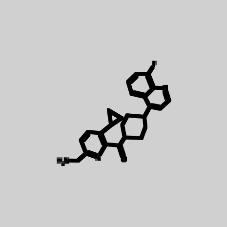 NCc1ccc(C2CC2)c(C(=O)C2CCC(c3ccnc4c(F)cccc34)CC2)n1